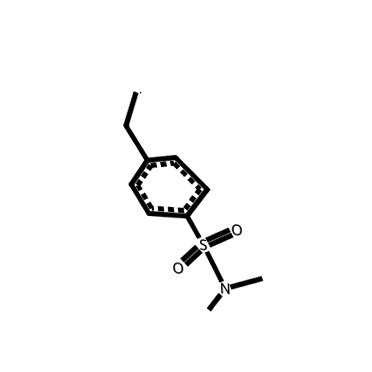 [CH2]Cc1ccc(S(=O)(=O)N(C)C)cc1